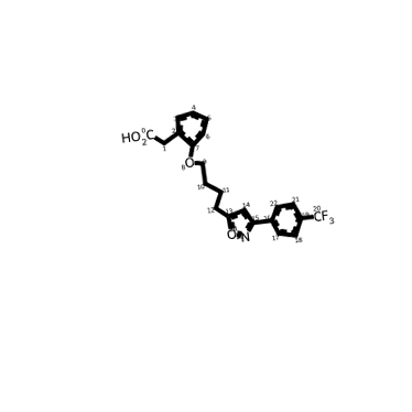 O=C(O)Cc1ccccc1OCCCCc1cc(-c2ccc(C(F)(F)F)cc2)no1